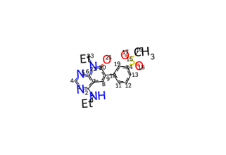 CCNc1ncnc2c1cc(-c1cccc(S(C)(=O)=O)c1)c(=O)n2CC